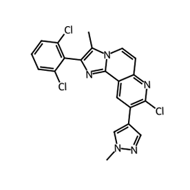 Cc1c(-c2c(Cl)cccc2Cl)nc2c3cc(-c4cnn(C)c4)c(Cl)nc3ccn12